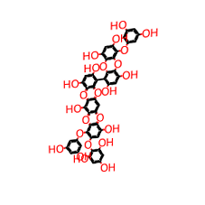 Oc1cc(O)cc(Oc2c(O)cc(O)c3c2Oc2c(O)cc(O)c(-c4c(O)cc(O)c5oc6c(O)c7oc8c(Oc9cc(O)cc(O)c9)c(Oc9c(O)cc(O)cc9O)cc(O)c8oc7cc6oc45)c2O3)c1